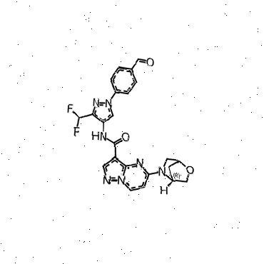 O=Cc1ccc(-n2cc(NC(=O)c3cnn4ccc(N5CC6C[C@@H]5CO6)nc34)c(C(F)F)n2)cc1